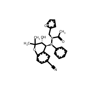 CC(=O)N(Cc1ccco1)N(c1ccccc1)[C@H]1c2cc(C#N)ccc2OC(C)(C)[C@@H]1O